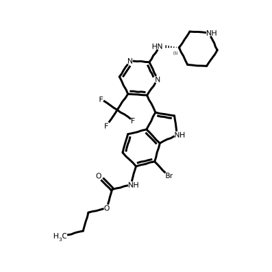 CCCOC(=O)Nc1ccc2c(-c3nc(N[C@H]4CCCNC4)ncc3C(F)(F)F)c[nH]c2c1Br